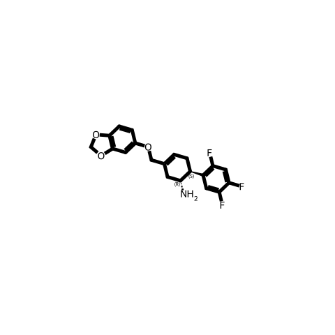 N[C@@H]1CC(COc2ccc3c(c2)OCO3)=CC[C@H]1c1cc(F)c(F)cc1F